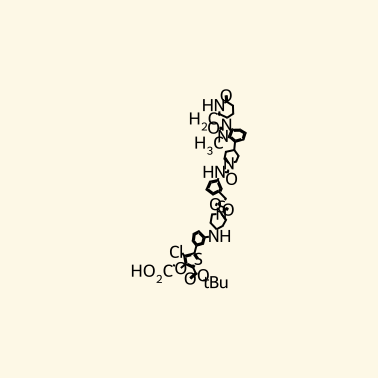 C=C1NC(=O)CCC1n1c(=O)n(C)c2c(C3CCN(C(=O)Nc4cccc(CS(=O)(=O)N5CCC(Nc6cccc(-c7sc(C(=O)OC(C)(C)C)c(OCC(=O)O)c7Cl)c6)CC5)c4)CC3)cccc21